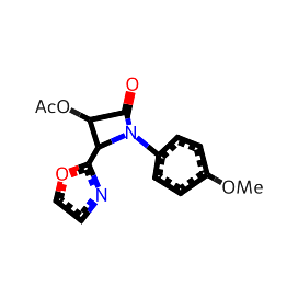 COc1ccc(N2C(=O)C(OC(C)=O)C2c2ncco2)cc1